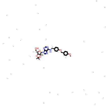 COc1ccc(COc2ccc(CNc3ncnc4c3ncn4[C@@H]3O[C@H](CO)C4OC(C)(C)O[C@@H]43)cc2)cc1